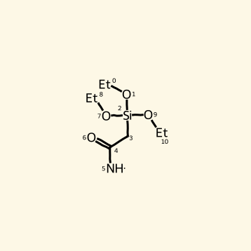 CCO[Si](CC([NH])=O)(OCC)OCC